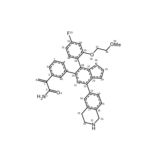 C=C(C(N)=O)c1cccc(-c2nc(-c3ccc4c(c3)CCNC4)c3ccsc3c2-c2ccc(F)cc2OCCOC)c1